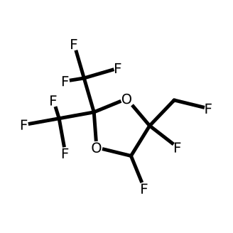 FCC1(F)OC(C(F)(F)F)(C(F)(F)F)OC1F